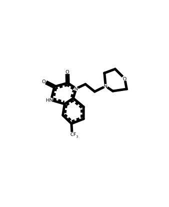 O=c1[nH]c2cc(C(F)(F)F)ccc2n(CCN2CCOCC2)c1=O